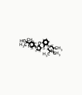 C[C@@H]1CN(c2ccccc2C[C@@H]2CCN(c3ccc(C(C)(C)O)nc3)C2=O)C[C@H](C)N1C